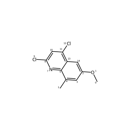 COc1cc(C)c2nc(Cl)cc(Cl)c2c1